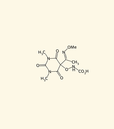 CON=C(C)C1(ONC(=O)O)C(=O)N(C)C(=O)N(C)C1=O